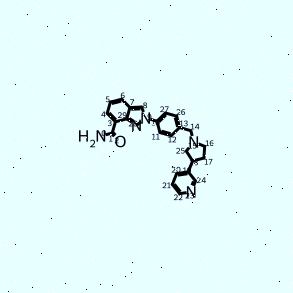 NC(=O)c1cccc2cn(-c3ccc(CN4CCC(c5cccnc5)C4)cc3)nc12